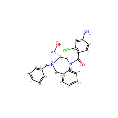 Nc1ccc(C(=O)N2C[C@@H](CO)N(Cc3ccccc3)Cc3ccccc32)c(Cl)c1